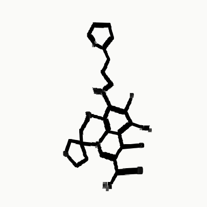 NC(=O)c1cn2c3c(c(NCCCc4ccccn4)c(F)c(N)c3c1=O)OCC21CCOC1